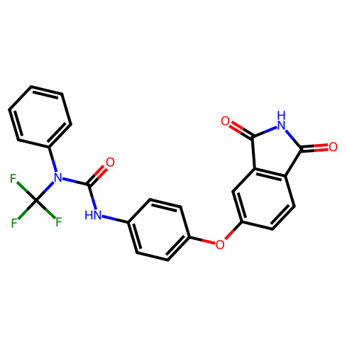 O=C1NC(=O)c2cc(Oc3ccc(NC(=O)N(c4ccccc4)C(F)(F)F)cc3)ccc21